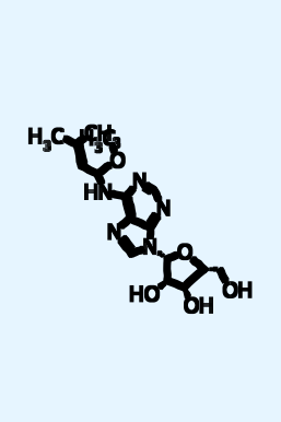 COC(C=C(C)C)Nc1ncnc2c1ncn2[C@@H]1O[C@H](CO)[C@@H](O)[C@H]1O